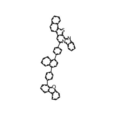 c1ccc2c(c1)ccc1c3cc(-c4ccc(-c5ccc(-c6ccc(-c7cccc8c7oc7ccccc78)cc6)c6ccccc56)cc4)n4c5ccccc5nc4c3sc21